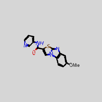 COc1ccc2c(c1)nc1sc(C(=O)Nc3cccnc3)cn12